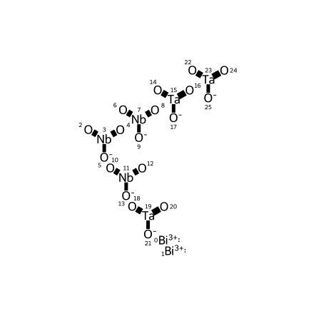 [Bi+3].[Bi+3].[O]=[Nb](=[O])[O-].[O]=[Nb](=[O])[O-].[O]=[Nb](=[O])[O-].[O]=[Ta](=[O])[O-].[O]=[Ta](=[O])[O-].[O]=[Ta](=[O])[O-]